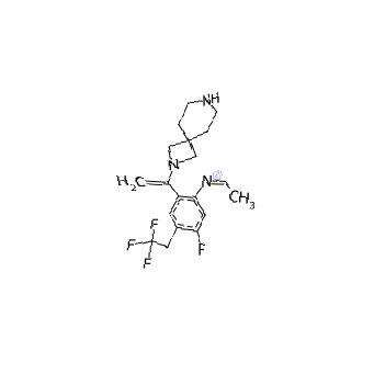 C=C(c1cc(CC(F)(F)F)c(F)cc1/N=C\C)N1CC2(CCNCC2)C1